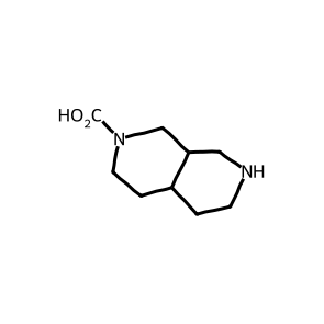 O=C(O)N1CCC2CCNCC2C1